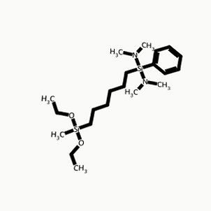 CCO[Si](C)(CCCCCC[Si](c1ccccc1)(N(C)C)N(C)C)OCC